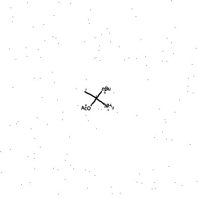 CCCCC(C)(N)OC(C)=O